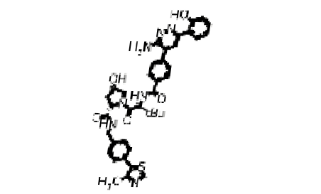 Cc1ncsc1-c1ccc(CNC(=O)[C@@H]2C[C@@H](O)CN2C(=O)[C@@H](NC(=O)c2ccc(-c3cc(-c4ccccc4O)nnc3N)cc2)C(C)(C)C)cc1